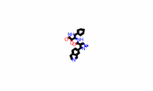 Cn1cc(C(=O)NC(Cc2ccccc2)C(=O)C(N)=O)c(-c2ccc3ccncc3c2)n1